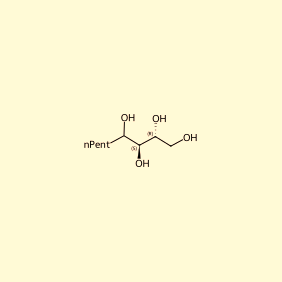 CCCCCC(O)[C@H](O)[C@H](O)CO